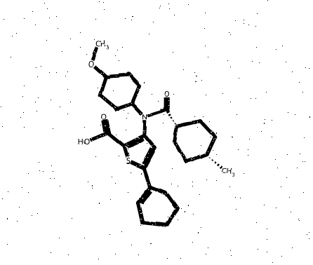 COC1CCC(N(c2cc(C3=CCCCC3)sc2C(=O)O)C(=O)[C@H]2CC[C@@H](C)CC2)CC1